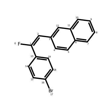 F/C(=C/c1ccc2ccccc2c1)c1ccc(Br)cc1